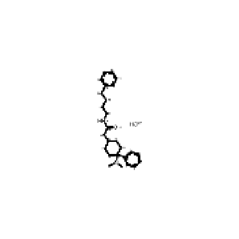 CN(C)C1(c2ccccc2)CCC(CC(=O)NCCCCc2ccccc2)CC1.Cl